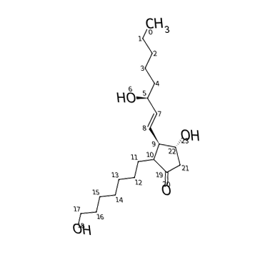 CCCCC[C@H](O)/C=C/[C@@H]1C(CCCCCCCO)C(=O)C[C@H]1O